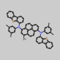 Cc1cc(C)cc(N(c2ccc3ccc4c(N(c5cc(C)cc(C)c5)c5cccc6c5sc5ccccc56)cc(C(C)C)c5ccc2c3c54)c2cccc3c2sc2ccccc23)c1